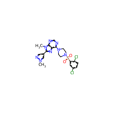 Cn1cc(-c2nc3c(N4CCN(S(=O)(=O)c5cc(Cl)ccc5Cl)CC4)ncnc3n2C)cn1